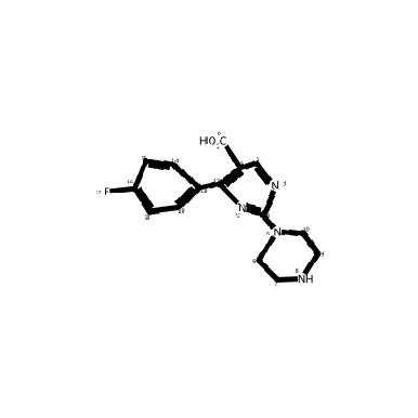 O=C(O)c1cnc(N2CCNCC2)nc1-c1ccc(F)cc1